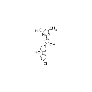 Cc1cc(C)nc(N2CC(O)C(N3CCC(O)(c4ccc(Cl)cc4)CC3)C2)n1